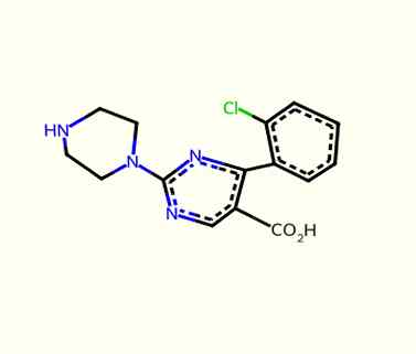 O=C(O)c1cnc(N2CCNCC2)nc1-c1ccccc1Cl